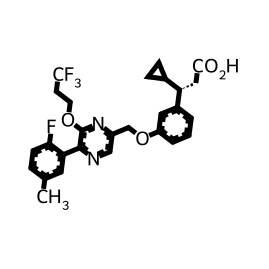 Cc1ccc(F)c(-c2ncc(COc3cccc([C@@H](CC(=O)O)C4CC4)c3)nc2OCCC(F)(F)F)c1